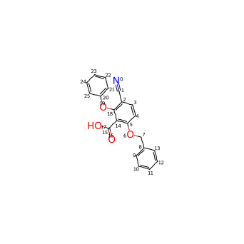 N#Cc1ccc(OCc2ccccc2)c(C(=O)O)c1Oc1ccccc1